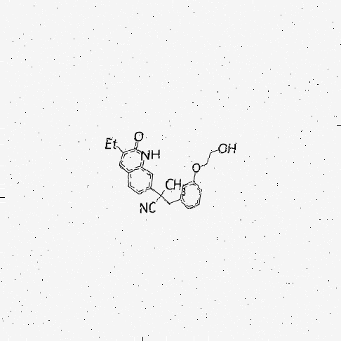 CCc1cc2ccc(C(C)(C#N)Cc3cccc(OCCO)c3)cc2[nH]c1=O